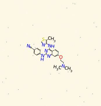 Cc1scnc1Nc1nc(Nc2ccc(C#N)cc2)nc2cc(OCCN(C)C)ccc12